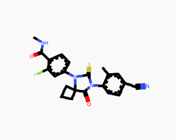 CNC(=O)c1ccc(N2C(=S)N(c3ccc(C#N)cc3C)C(=O)C23CCC3)cc1F